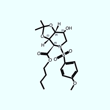 CCCCOC(=O)[C@H]1[C@@H]2OC(C)(C)O[C@@H]2[C@@H](O)CN1S(=O)(=O)c1ccc(OC)cc1